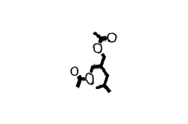 CC(=O)OCC(COC(C)=O)CC(C)C